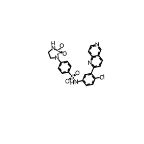 O=S(=O)(Nc1ccc(Cl)c(-c2ccc3cnccc3n2)c1)c1ccc(N2CCNS2(=O)=O)cc1